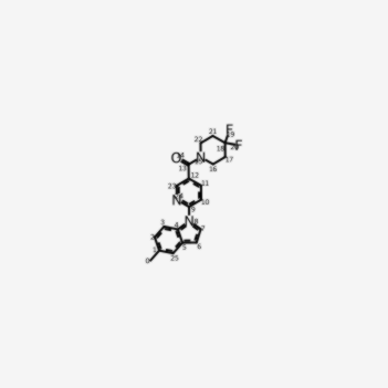 Cc1ccc2c(ccn2-c2ccc(C(=O)N3CCC(F)(F)CC3)cn2)c1